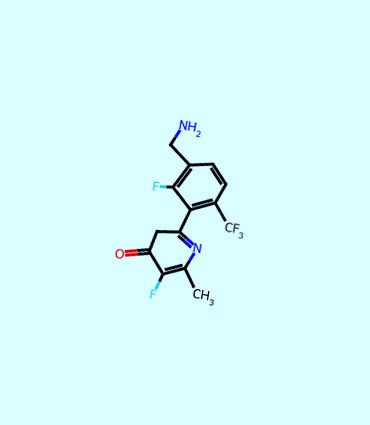 CC1=C(F)C(=O)CC(c2c(C(F)(F)F)ccc(CN)c2F)=N1